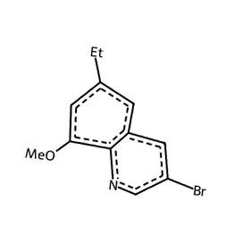 CCc1cc(OC)c2ncc(Br)cc2c1